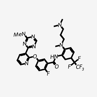 CNc1ncnc(-c2cccnc2Oc2ccc(F)c(C(=O)NC3=C(N(C)CCCN(C)C)C=CC(C(F)(F)C(F)(F)F)C3)c2)n1